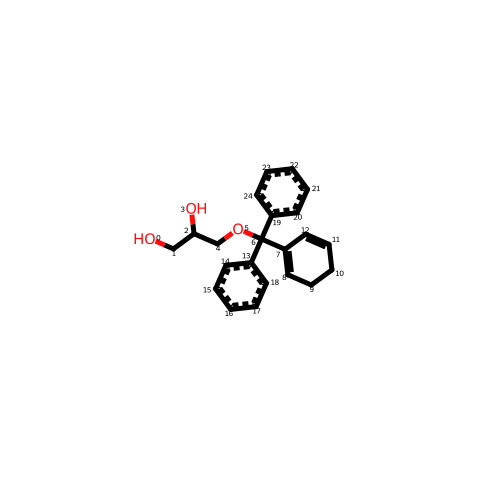 OCC(O)COC(C1=CCCC=C1)(c1ccccc1)c1ccccc1